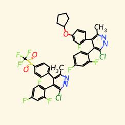 Cc1nnc(Cl)c(-c2c(F)cc(F)cc2F)c1-c1ccc(OC2CCCC2)cc1.Cc1nnc(Cl)c(-c2c(F)cc(F)cc2F)c1-c1ccc(S(=O)(=O)C(F)(F)F)cc1